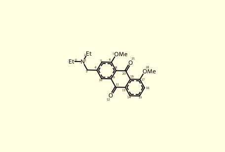 CCN(CC)Cc1cc(OC)c2c(c1)C(=O)c1cccc(OC)c1C2=O